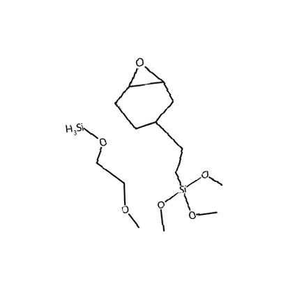 COCCO[SiH3].CO[Si](CCC1CCC2OC2C1)(OC)OC